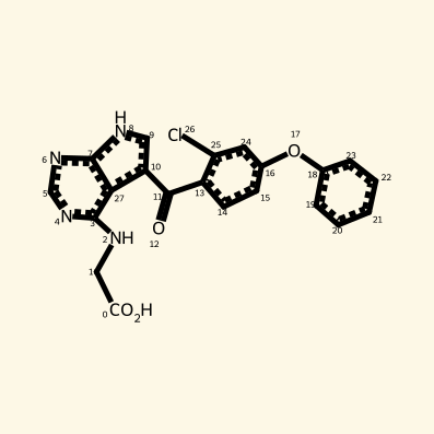 O=C(O)CNc1ncnc2[nH]cc(C(=O)c3ccc(Oc4ccccc4)cc3Cl)c12